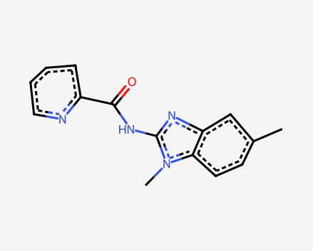 Cc1ccc2c(c1)nc(NC(=O)c1ccccn1)n2C